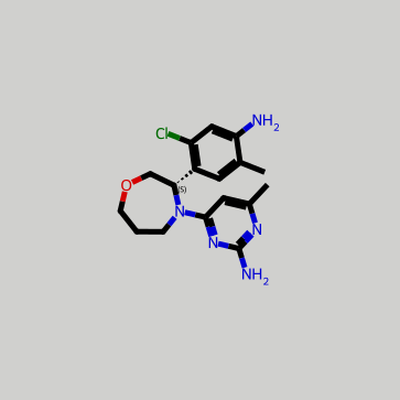 Cc1cc(N2CCCOC[C@@H]2c2cc(C)c(N)cc2Cl)nc(N)n1